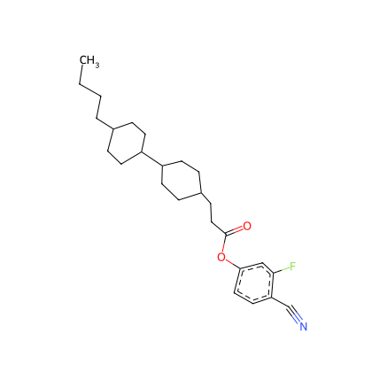 CCCCC1CCC(C2CCC(CCC(=O)Oc3ccc(C#N)c(F)c3)CC2)CC1